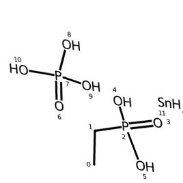 CCP(=O)(O)O.O=P(O)(O)O.[SnH4]